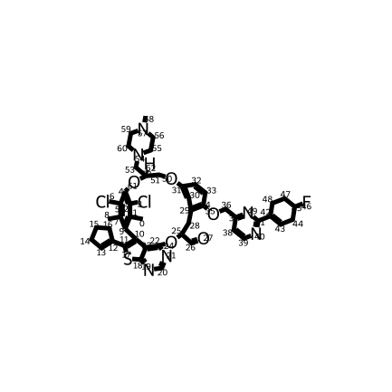 Cc1c(Cl)c2c(Cl)c(C)c1-c1c(C3=CCCC3)sc3ncnc(c13)OC(C=O)Cc1cc(ccc1OCc1ccnc(C3=CCC(F)CC3)n1)OC[C@@H](CN1CCN(C)CC1)O2